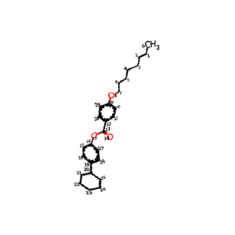 CCCCCCCCOc1ccc(C(=O)Oc2ccc(C3CC[CH]CC3)cc2)cc1